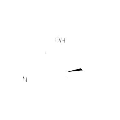 C=C[C@H]1CCN(C)C[C@@H]1O